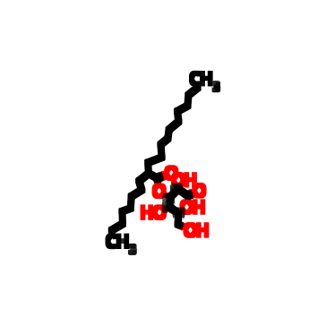 CCCCCCCCCCCC(CCCCCCCC)C(=O)O[C@@H]([C@H](O)[C@H](O)CO)[C@@H](O)C=O